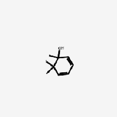 CC1(O)C=CC=CC1(C)I